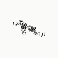 CCC1CCC2(CC1)N=C(c1cccc(C(F)(F)F)c1)C(=O)N2CCc1ccc(C(=O)NCCC(=O)O)cc1